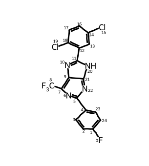 Fc1ccc(-c2nc(C(F)(F)F)c3nc(-c4cc(Cl)ccc4Cl)[nH]c3n2)cc1